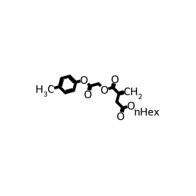 C=C(CC(=O)OCCCCCC)C(=O)OCC(=O)Oc1ccc(C)cc1